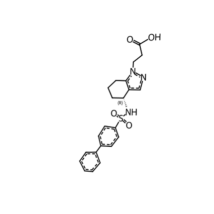 O=C(O)CCn1ncc2c1CCC[C@H]2NS(=O)(=O)c1ccc(-c2ccccc2)cc1